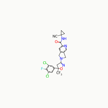 N#CC1(NC(=O)c2cc3c(cn2)CN(C2=NOC(c4cc(Cl)c(F)c(Cl)c4)(C(F)(F)F)C2)C3)CC1